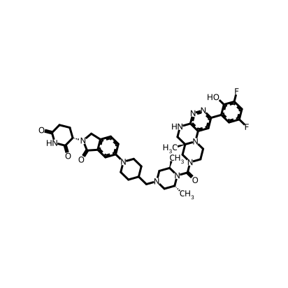 C[C@@H]1CN(CC2CCN(c3ccc4c(c3)C(=O)N([C@H]3CCC(=O)NC3=O)C4)CC2)C[C@@H](C)N1C(=O)N1CCN2c3cc(-c4cc(F)cc(F)c4O)nnc3NC[C@@]2(C)C1